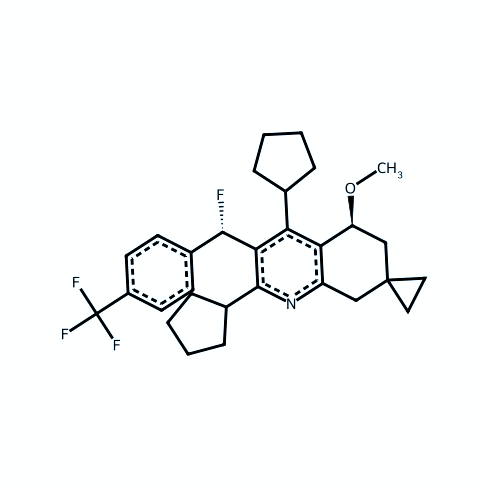 CO[C@H]1CC2(CC2)Cc2nc(C3CCCC3)c([C@@H](F)c3ccc(C(F)(F)F)cc3)c(C3CCCC3)c21